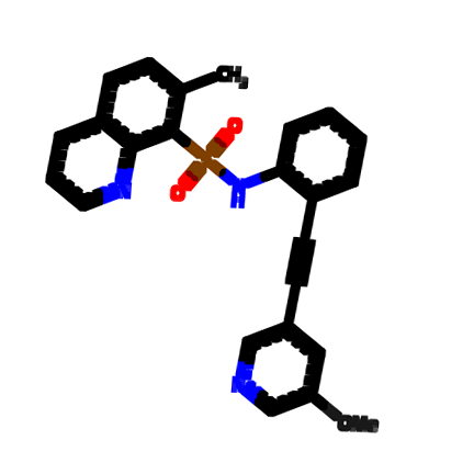 COc1cncc(C#Cc2ccccc2NS(=O)(=O)c2c(C)ccc3cccnc23)c1